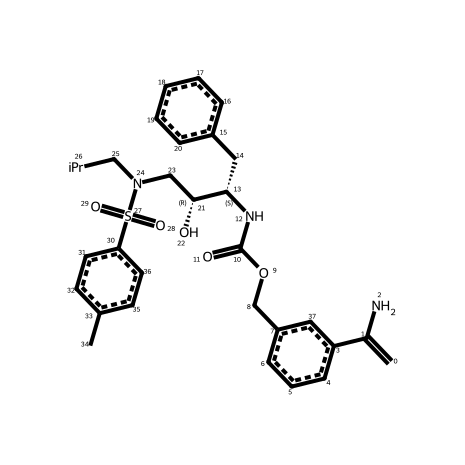 C=C(N)c1cccc(COC(=O)N[C@@H](Cc2ccccc2)[C@H](O)CN(CC(C)C)S(=O)(=O)c2ccc(C)cc2)c1